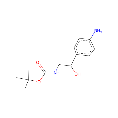 CC(C)(C)OC(=O)NCC(O)c1ccc(N)cc1